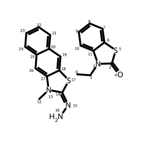 CCn1c(=O)sc2ccccc21.Cn1c(=NN)sc2cc3ccccc3cc21